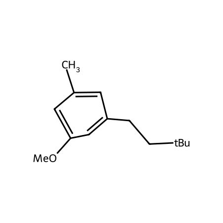 COc1cc(C)cc(CCC(C)(C)C)c1